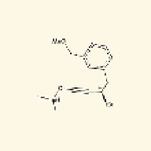 COCc1cccc(C[C@H](C#CO[SiH](C)C)C(C)(C)C)c1